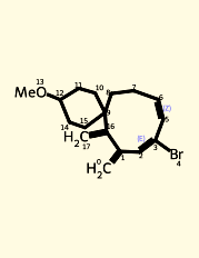 C=C1/C=C(Br)\C=C/CCC2(CCC(OC)CC2)C1=C